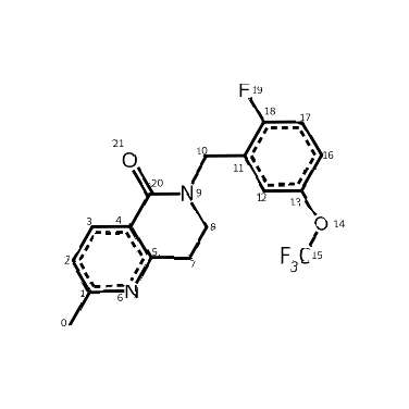 Cc1ccc2c(n1)CCN(Cc1cc(OC(F)(F)F)ccc1F)C2=O